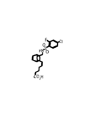 O=C(O)CCC/C=C\C1C2CCC(CC2)C1CNS(=O)(=O)c1ccc(Cl)cc1F